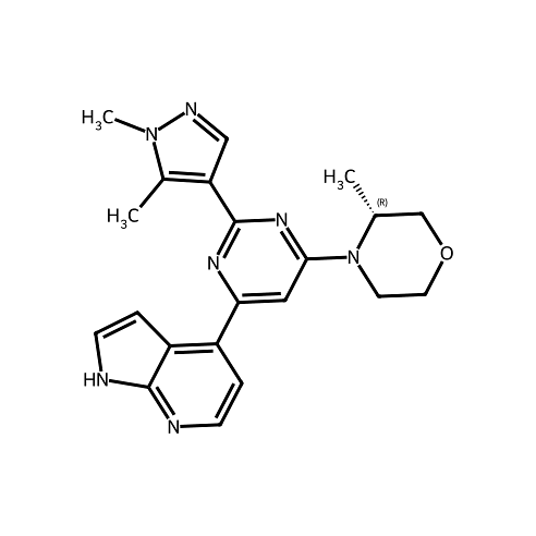 Cc1c(-c2nc(-c3ccnc4[nH]ccc34)cc(N3CCOC[C@H]3C)n2)cnn1C